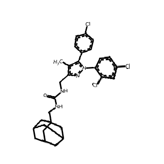 Cc1c(CNC(=O)NCC23CC4CC(CC(C4)C2)C3)nn(-c2ccc(Cl)cc2Cl)c1-c1ccc(Cl)cc1